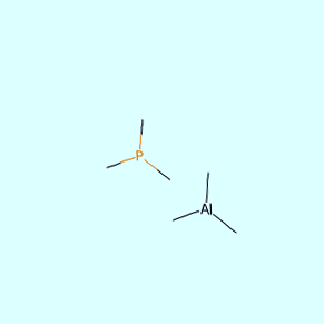 CP(C)C.[CH3][Al]([CH3])[CH3]